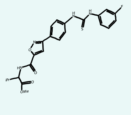 COC(=O)C(NC(=O)c1cc(-c2ccc(NC(=S)Nc3cccc(F)c3)cc2)no1)C(C)C